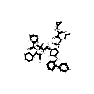 CCC[C@H](NC(=O)[C@@H]1C[C@@H](Oc2ccccc2-c2ccccc2)CN1C(=O)[C@@H](NC(=O)[C@@H](NC(=O)c1cnccn1)C1CCCCC1)C(C)(C)C)C(=O)C(=O)NC1CC1